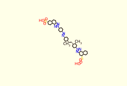 Cc1cc(N=Nc2ccc(-n3nc4ccc5cc(S(=O)(=O)O)ccc5c4n3)cc2)ccc1C=Cc1ccc(-n2nc3cc(SOOO)c4ccccc4c3n2)cc1C